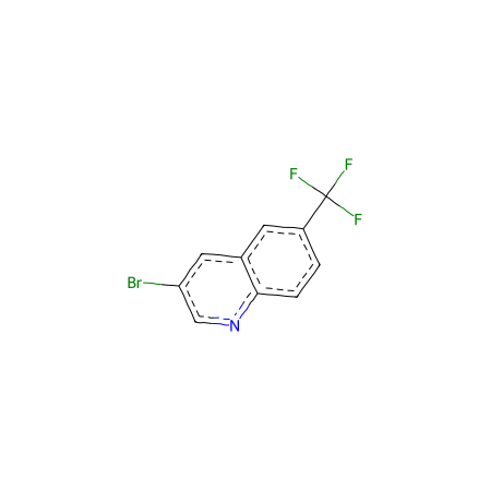 FC(F)(F)c1ccc2ncc(Br)cc2c1